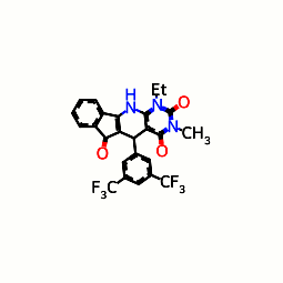 CCn1c2c(c(=O)n(C)c1=O)C(c1cc(C(F)(F)F)cc(C(F)(F)F)c1)C1=C(N2)c2ccccc2C1=O